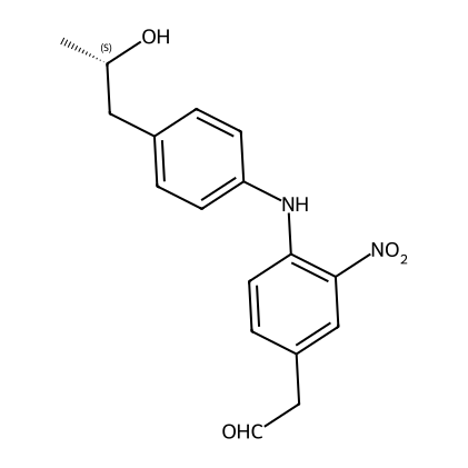 C[C@H](O)Cc1ccc(Nc2ccc(CC=O)cc2[N+](=O)[O-])cc1